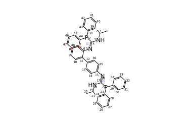 CC(C)N/C(=N/c1ccccc1-c1ccc(/N=C(\NC(C)C)P(c2ccccc2)c2ccccc2)cc1)P(c1ccccc1)c1ccccc1